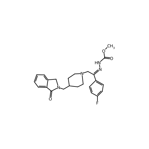 COC(=O)N/N=C(\CN1CCC(CN2Cc3ccccc3C2=O)CC1)c1ccc(F)cc1